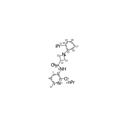 CCCOc1nc(C)ccc1NC(=O)C1CN(c2ccccc2C(C)C)C1